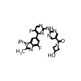 Cc1nc2c(F)cc(-c3nc(Nc4ncc(C(=O)N5CC(O)C5)cn4)ncc3F)cc2n1C(C)C